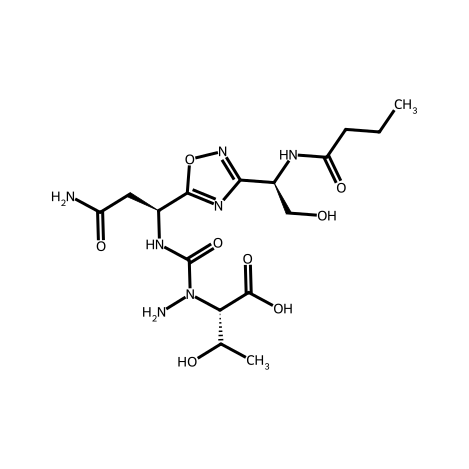 CCCC(=O)N[C@@H](CO)c1noc([C@H](CC(N)=O)NC(=O)N(N)[C@H](C(=O)O)C(C)O)n1